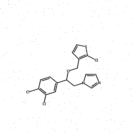 Clc1ccc(C(Cn2ccnc2)OCc2ccsc2Cl)cc1Cl